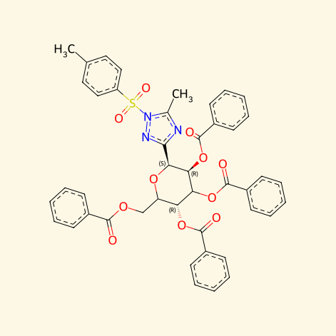 Cc1ccc(S(=O)(=O)n2nc([C@@H]3OC(COC(=O)c4ccccc4)[C@@H](OC(=O)c4ccccc4)C(OC(=O)c4ccccc4)[C@@H]3OC(=O)c3ccccc3)nc2C)cc1